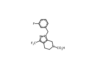 O=C(O)N1CCc2c(C(F)(F)F)nn(Cc3cccc(F)c3)c2C1